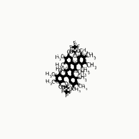 Cc1cc2c(-c3c(C)c(C)c(C)c(C)c3OS(=O)(=O)C(F)(F)F)c(C)c3c4c(C)c(C)c(C)cc4c(-c4c(C)c(C)c(C)c(C)c4OS(=O)(=O)C(F)(F)F)c(C)c3c2c(C)c1C